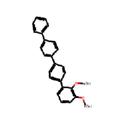 CCCCCCCCOc1cccc(-c2ccc(-c3ccc(-c4ccccc4)cc3)cc2)c1OCCCCCCCC